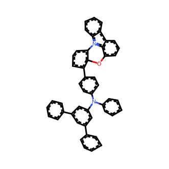 c1ccc(-c2cc(-c3ccccc3)cc(N(c3ccccc3)c3ccc(-c4cccc5c4Oc4cccc6c7ccccc7n-5c46)cc3)c2)cc1